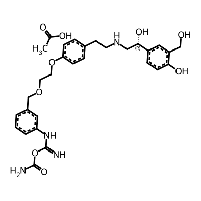 CC(=O)O.N=C(Nc1cccc(COCCOc2ccc(CCNC[C@H](O)c3ccc(O)c(CO)c3)cc2)c1)OC(N)=O